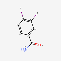 NC(=O)c1ccc(I)c(I)c1